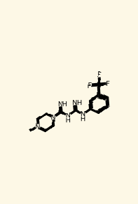 CN1CCN(C(=N)NC(=N)Nc2cccc(C(F)(F)F)c2)CC1